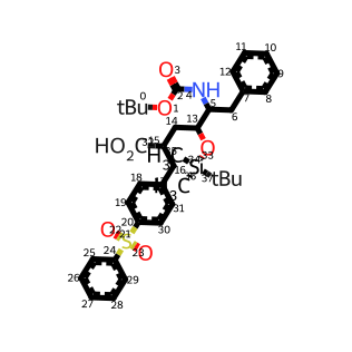 CC(C)(C)OC(=O)NC(Cc1ccccc1)C(CC(Cc1ccc(S(=O)(=O)c2ccccc2)cc1)C(=O)O)O[Si](C)(C)C(C)(C)C